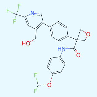 O=C(Nc1ccc(OC(F)F)cc1)C1(c2ccc(-c3cnc(C(F)(F)F)cc3CO)cc2)COC1